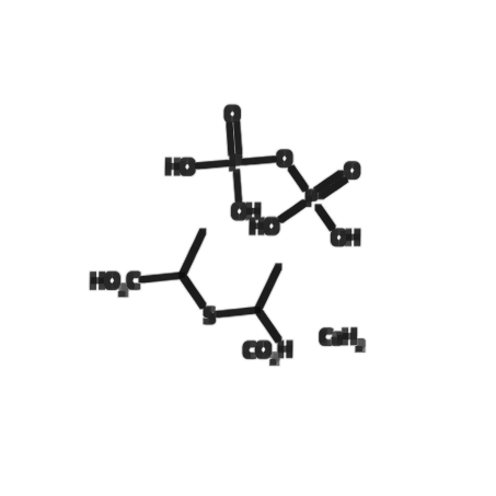 CC(SC(C)C(=O)O)C(=O)O.O=P(O)(O)OP(=O)(O)O.[CaH2]